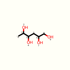 [CH2]C(O)C(O)CC(O)CO